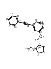 CN1CCC[C@H]1COc1cncc(C#Cc2ccccc2)c1